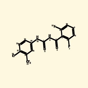 O=C(NC(=O)c1c(F)cccc1F)Nc1cnc(Cl)c(C(F)(F)F)c1